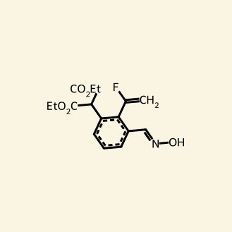 C=C(F)c1c(/C=N/O)cccc1C(C(=O)OCC)C(=O)OCC